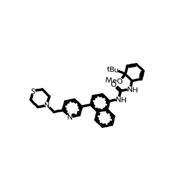 COC1(C(C)(C)C)C=CC=CC1NC(=O)Nc1ccc(-c2ccc(CN3CCSCC3)nc2)c2ccccc12